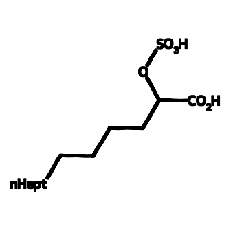 CCCCCCCCCCCC(OS(=O)(=O)O)C(=O)O